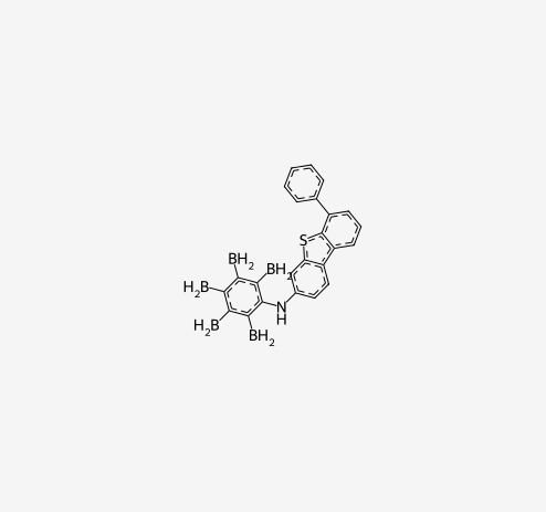 Bc1c(B)c(B)c(Nc2ccc3c(c2)sc2c(-c4ccccc4)cccc23)c(B)c1B